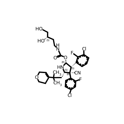 CC(C)(C[C@@H]1N[C@H](OC(=O)NCC[C@H](O)CO)[C@H](c2cccc(Cl)c2F)[C@@]1(C#N)c1ccc(Cl)cc1F)C1=CCOCC1